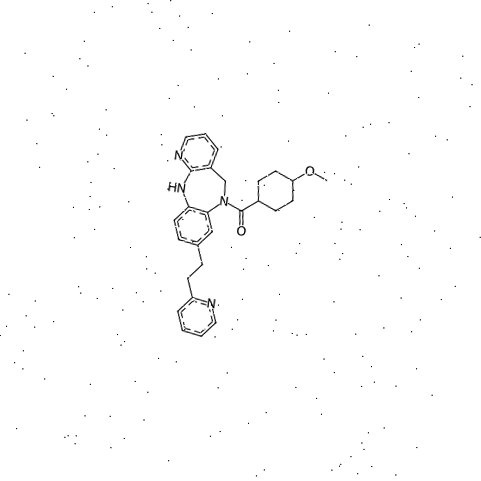 COC1CCC(C(=O)N2Cc3cccnc3Nc3ccc(CCc4ccccn4)cc32)CC1